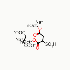 CCCCCCCCOC(=O)CC(C(=O)OCCCCCCCC)S(=O)(=O)O.O=C([O-])CCC(=O)[O-].[Na+].[Na+]